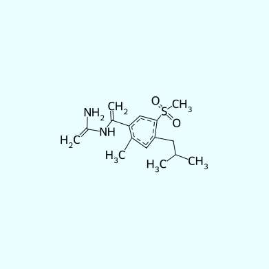 C=C(N)NC(=C)c1cc(S(C)(=O)=O)c(CC(C)C)cc1C